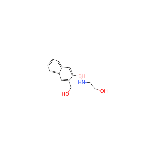 OCCNBc1cc2ccccc2cc1CO